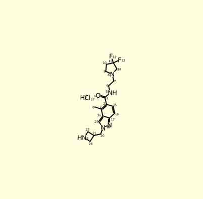 Cc1c(C(=O)NCCN2CCC(F)(F)C2)ccc2nn(CC3CNC3)cc12.Cl